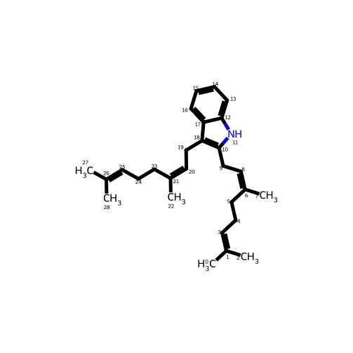 CC(C)=CCCC(C)=CCc1[nH]c2ccccc2c1CC=C(C)CCC=C(C)C